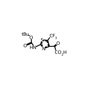 CC(C)(C)OC(=O)Nc1nc(C(=O)C(=O)O)c(C(F)(F)F)s1